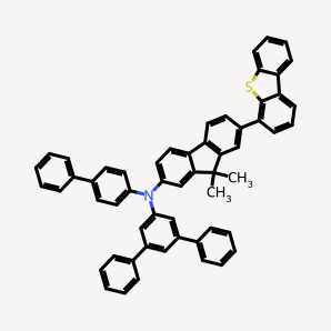 CC1(C)c2cc(-c3cccc4c3sc3ccccc34)ccc2-c2ccc(N(c3ccc(-c4ccccc4)cc3)c3cc(-c4ccccc4)cc(-c4ccccc4)c3)cc21